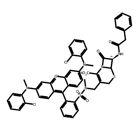 CN(c1ccc2c(-c3ccccc3S(=O)(=O)N(C)CC3=C(C(=O)O)N4C(=O)[C@@H](NC(=O)Cc5ccccc5)C4SC3)c3ccc(N(C)c4ccccc4Cl)cc3[o+]c2c1)c1ccccc1Cl